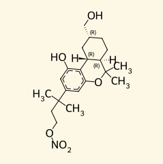 CC(C)(CCO[N+](=O)[O-])c1cc(O)c2c(c1)OC(C)(C)[C@@H]1CC[C@@H](CO)C[C@@H]21